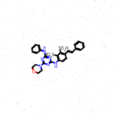 O=S(=O)(O)c1c(C=Cc2ccccc2)ccc(Nc2nc(Nc3ccccc3)nc(N3CCOCC3)n2)c1S(=O)(=O)O